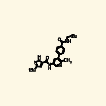 Cc1ncc(NC(=O)c2cc(C(C)(C)C)n[nH]2)cc1-c1ccc(C(=O)NCC(C)(C)C)cc1